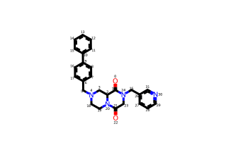 O=C1C2CN(Cc3ccc(-c4ccccc4)cc3)CCN2C(=O)CN1Cc1cccnc1